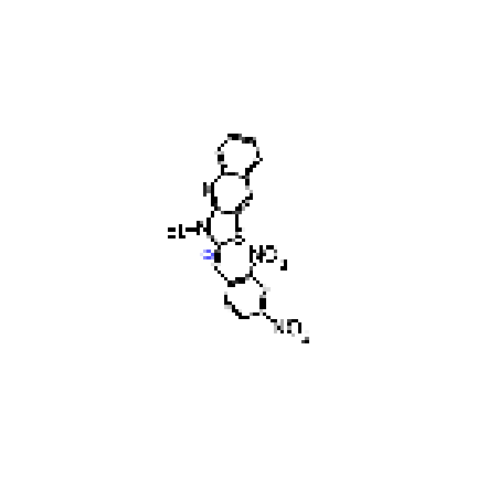 CCN1/C(=C/c2ccc([N+](=O)[O-])cc2[N+](=O)[O-])Sc2cc3ccccc3nc21